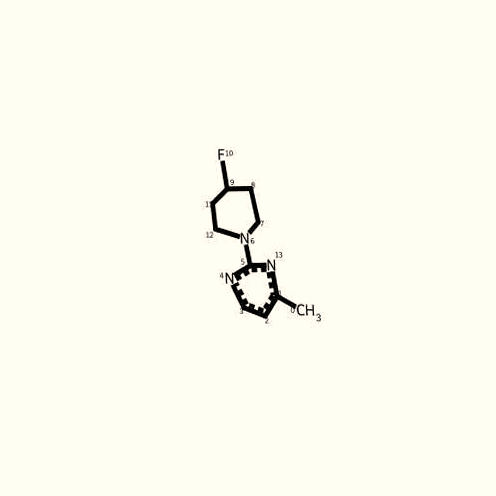 Cc1ccnc(N2CCC(F)CC2)n1